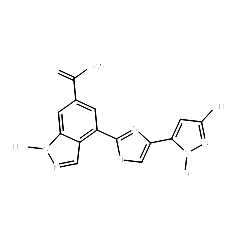 CCn1nc(C)cc1-c1c[nH]c(-c2cc(C(=O)OC)cc3c2cnn3C)n1